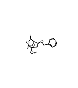 CC1OC2(C)OC1C(OCc1ccccc1)CC2O